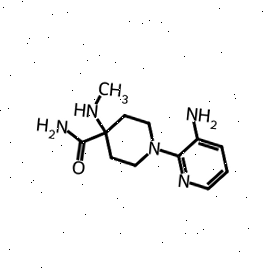 CNC1(C(N)=O)CCN(c2ncccc2N)CC1